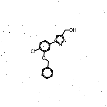 OCc1cn(-c2ccc(Cl)c(OCc3ccccc3)c2)nn1